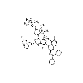 C#Cc1c(F)ccc2cc(N=C(c3ccccc3)c3ccccc3)cc(-c3cc4c5c(nc(OC[C@@]67CCCN6C[C@H](F)C7)nc5c3F)N3CCN(COC(C)(C)C)[C@@H](CC)[C@@H]3[C@@H](C)C4)c12